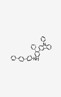 c1ccc(-c2ccc(-c3ccc(Nc4ccc(-c5ccc6c(c5)c5ccccc5n6-c5ccccc5)c(-c5ccccc5)c4)cc3)cc2)cc1